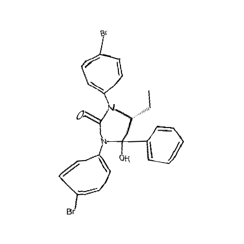 CC[C@H]1N(c2ccc(Br)cc2)C(=O)N(c2ccc(Br)cc2)C1(O)c1ccccc1